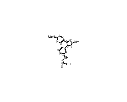 CNc1ccc(-c2nn(C(C)C)cc2-c2ccnc(NC[C@H](C)O)n2)cn1